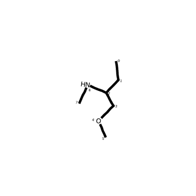 CCC(COC)NC